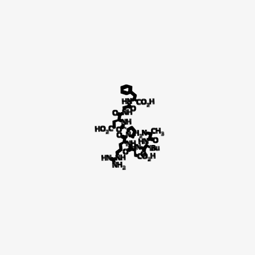 CC[C@H](C)[C@H](NC(=O)[C@H](C)N)C(=O)N[C@@H](CC(=O)O)C(=O)N[C@@H](CCCNC(=N)N)C(=O)N1CCC[C@H]1C(=O)N[C@@H](CCC(=O)O)C(=O)NCC(=O)N[C@@H](Cc1ccccc1)C(=O)O